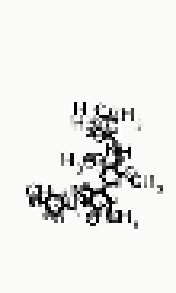 COc1ccc(Cn2ncc3c(-c4cc(OC)c(CNCC(=O)OC(C)(C)C)c(OC)c4)cn(C)c(=O)c32)cc1